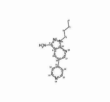 CCCCn1nc(N)c2cc(-c3ccncc3)cnc21